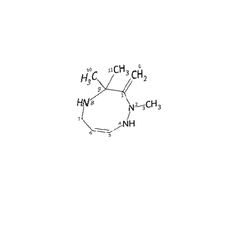 C=C1N(C)N/C=C\CNC1(C)C